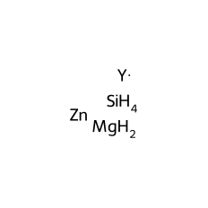 [MgH2].[SiH4].[Y].[Zn]